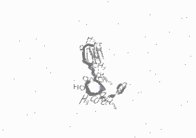 CCC(O)C(C)C1OC1CC(C)(O)/C=C/C=C(\C)C1OC(=O)CC(O)CCC(C)C(OC(=O)N(C)CCN2CCOCC2)/C=C/C1C